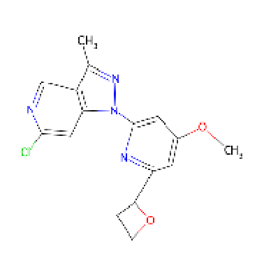 COc1cc(C2CCO2)nc(-n2nc(C)c3cnc(Cl)cc32)c1